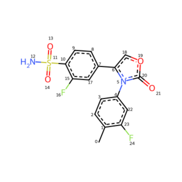 Cc1ccc(-n2c(-c3ccc(S(N)(=O)=O)c(F)c3)coc2=O)cc1F